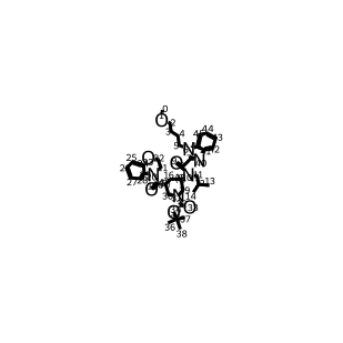 COCCCCn1c(C(=O)N(CC(C)C)[C@H]2C[C@@H](C(=O)N3CCOc4ccccc43)CN(C(=O)OC(C)(C)C)C2)nc2ccccc21